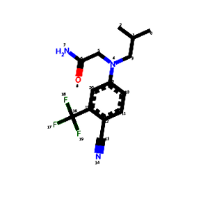 CC(C)CN(CC(N)=O)c1ccc(C#N)c(C(F)(F)F)c1